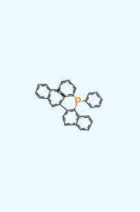 c1ccc(P(c2ccccc2)c2c(-c3ccc4ccccc4c3)ccc3ccccc23)cc1